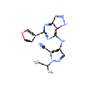 CC(C)n1ncc(Nc2nc(-c3ccoc3)nc3cn[nH]c23)c1C#N